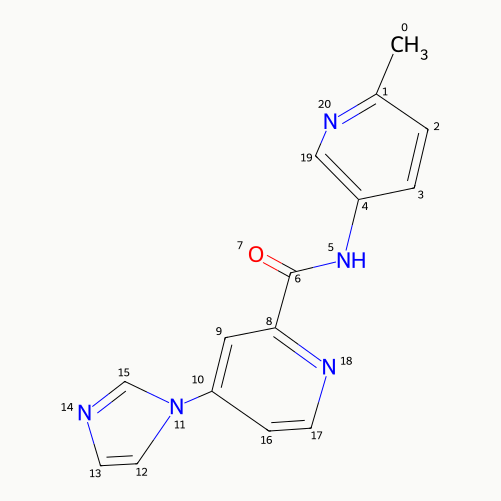 Cc1ccc(NC(=O)c2cc(-n3ccnc3)ccn2)cn1